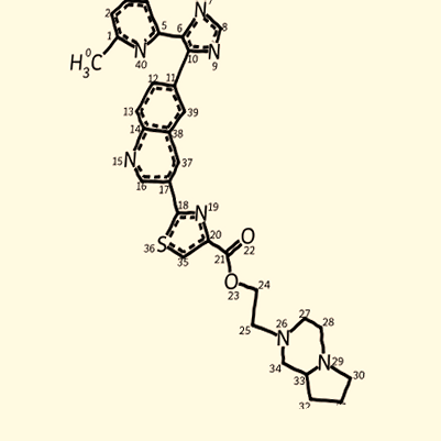 Cc1cccc(-c2[nH]cnc2-c2ccc3ncc(-c4nc(C(=O)OCCN5CCN6CCCC6C5)cs4)cc3c2)n1